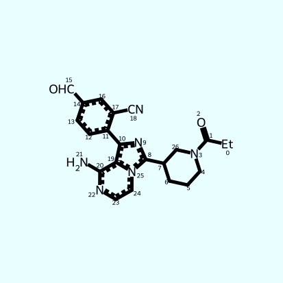 CCC(=O)N1CCCC(c2nc(-c3ccc(C=O)cc3C#N)c3c(N)nccn23)C1